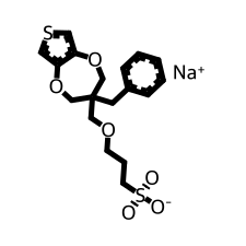 O=S(=O)([O-])CCCOCC1(Cc2ccccc2)COc2cscc2OC1.[Na+]